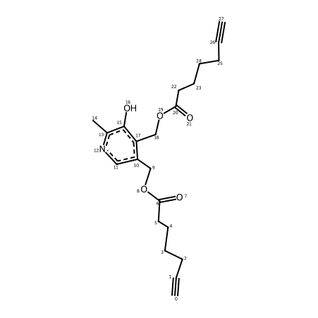 C#CCCCCC(=O)OCc1cnc(C)c(O)c1COC(=O)CCCCC#C